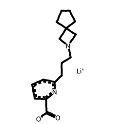 O=C([O-])c1cccc(CCCN2CC3(CCCC3)C2)n1.[Li+]